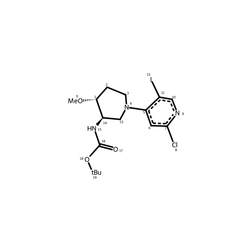 CO[C@@H]1CCN(c2cc(Cl)ncc2I)C[C@H]1NC(=O)OC(C)(C)C